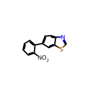 O=[N+]([O-])c1ccccc1-c1ccc2ncsc2c1